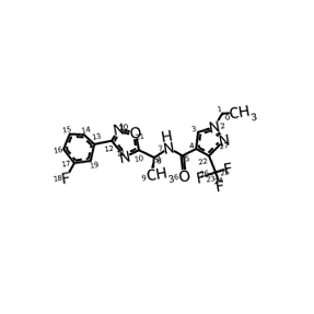 CCn1cc(C(=O)N[C@@H](C)c2nc(-c3cccc(F)c3)no2)c(C(F)(F)F)n1